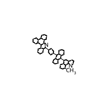 Cc1cccc2c(-c3c4ccccc4c(-c4ccc(-c5nc6c7ccccc7c7ccccc7c6c6ccccc56)cc4)c4ccccc34)cc3cccnc3c12